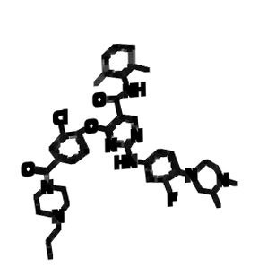 CCCN1CCN(C(=O)c2ccc(Oc3nc(Nc4ccc(N5CCN(C)C(C)C5)c(F)c4)ncc3C(=O)Nc3c(C)cccc3C)c(Cl)c2)CC1